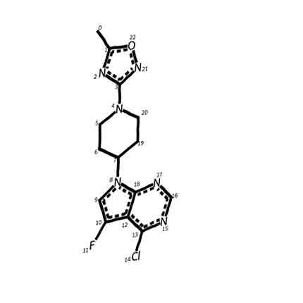 Cc1nc(N2CCC(n3cc(F)c4c(Cl)ncnc43)CC2)no1